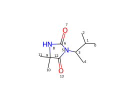 CC(C)C(C)N1C(=O)NC(C)(C)C1=O